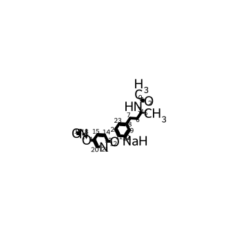 CC(=O)N[C@@H](C)CCc1ccc(Oc2ccc(ON=O)cn2)cc1.[NaH]